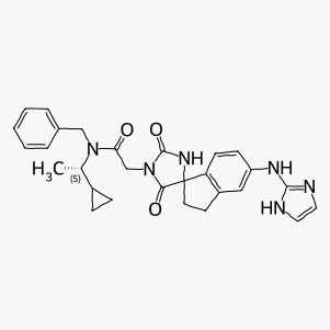 C[C@@H](C1CC1)N(Cc1ccccc1)C(=O)CN1C(=O)NC2(CCc3cc(Nc4ncc[nH]4)ccc32)C1=O